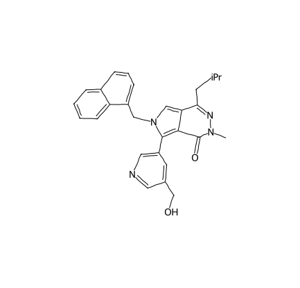 CC(C)Cc1nn(C)c(=O)c2c(-c3cncc(CO)c3)n(Cc3cccc4ccccc34)cc12